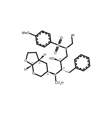 COc1ccc(S(=O)(=O)N(CC(C)C)C[C@H](O)[C@H](Cc2ccccc2)N(C(=O)O)[C@H]2CO[C@@H]3OCC[C@@H]3C2)cc1